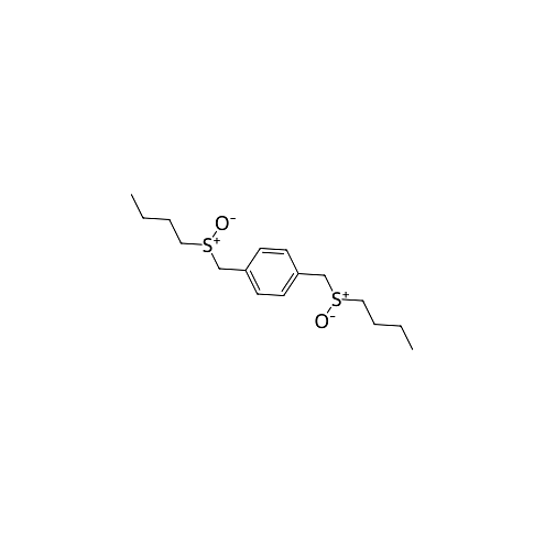 CCCC[S+]([O-])Cc1ccc(C[S+]([O-])CCCC)cc1